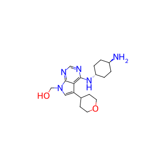 N[C@H]1CC[C@H](Nc2ncnc3c2c(C2CCOCC2)cn3CO)CC1